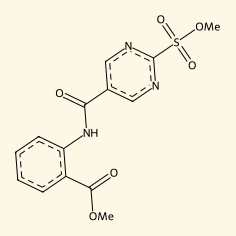 COC(=O)c1ccccc1NC(=O)c1cnc(S(=O)(=O)OC)nc1